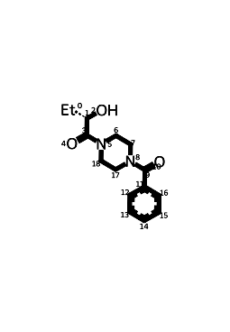 CC[C@H](O)C(=O)N1CCN(C(=O)c2ccccc2)CC1